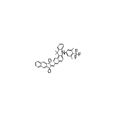 Cc1cc(N2c3ccccc3C(C)(C)c3c2ccc2cc(C=C4C(=O)c5cc6ccccc6cc5C4=O)ccc32)cc(C)c1C(F)(F)F